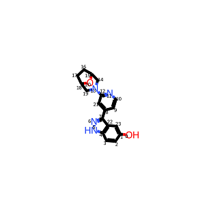 Oc1ccc2[nH]nc(-c3ccnc(N4CC5CCC(C4)O5)c3)c2c1